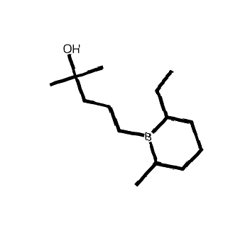 CCC1CCCC(C)B1CCCC(C)(C)O